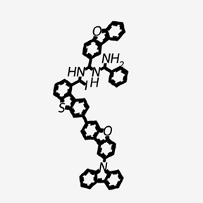 NC(NC(NC(I)c1cccc2sc3cc(-c4ccc5c(c4)oc4ccc(-n6c7ccccc7c7ccccc76)cc45)ccc3c12)c1ccc2oc3ccccc3c2c1)c1ccccc1